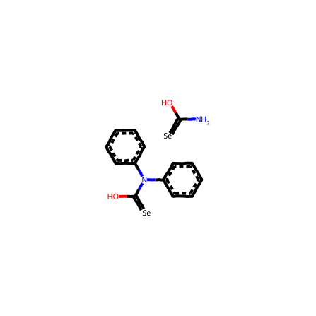 NC(O)=[Se].OC(=[Se])N(c1ccccc1)c1ccccc1